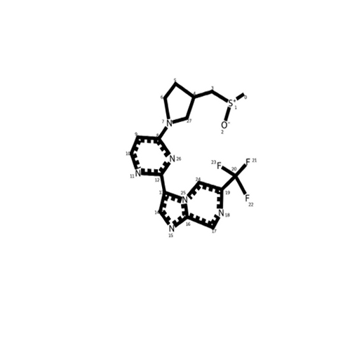 C[S+]([O-])CC1CCN(c2ccnc(-c3cnc4cnc(C(F)(F)F)cn34)n2)C1